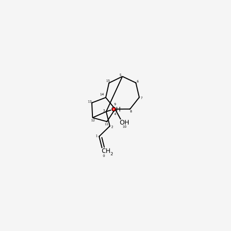 C=CCC1(O)C2CCCC3(O)CC1CC3C2